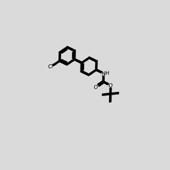 CC(C)(C)OC(=O)NC1CC=C(c2cccc(Cl)c2)CC1